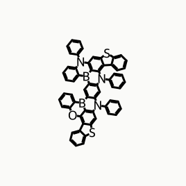 c1ccc(N2c3cc4c(cc3B3c5ccccc5Oc5c3c2cc2sc3ccccc3c52)B2c3ccccc3N(c3ccccc3)c3cc5sc6ccccc6c5c(c32)N4c2ccccc2)cc1